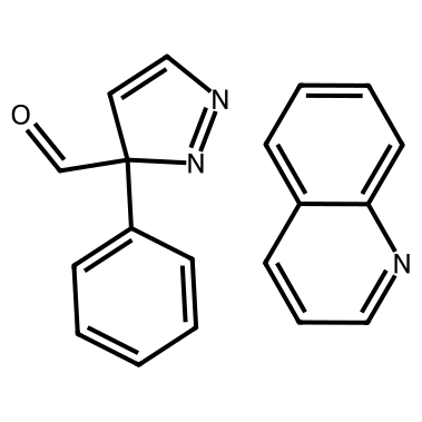 O=CC1(c2ccccc2)C=CN=N1.c1ccc2ncccc2c1